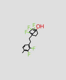 Cc1ccc(CCC23CCC(O)(CC2)C(F)(F)C3F)c(F)c1F